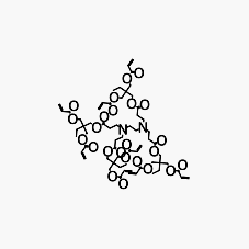 C=CC(=O)OCC(CC)(COC(=O)C=C)COC(=O)CCN(CCC(=O)OCC(CC)(COC(=O)C=C)COC(=O)C=C)CCN(CCC(=O)OCC(CC)(COC(=O)C=C)COC(=O)C=C)CCC(=O)OCC(CC)(COC(=O)C=C)COC(=O)C=C